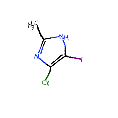 Cc1nc(Cl)c(I)[nH]1